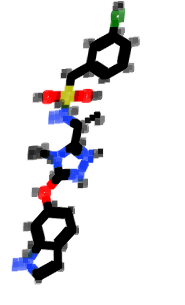 CCn1c(Oc2ccc3cc[nH]c3c2)nnc1[C@@H](C)NS(=O)(=O)Cc1cccc(Cl)c1